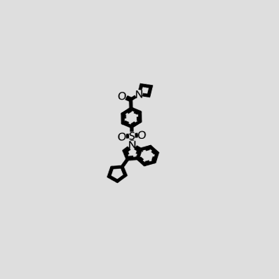 O=C(c1ccc(S(=O)(=O)n2cc(C3CCCC3)c3ccccc32)cc1)N1CCC1